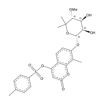 CO[C@@H]1[C@@H](O)[C@@H](O)[C@H](Oc2ccc3c(OS(=O)(=O)c4ccc(C)cc4)cc(=O)oc3c2C)OC1(C)C